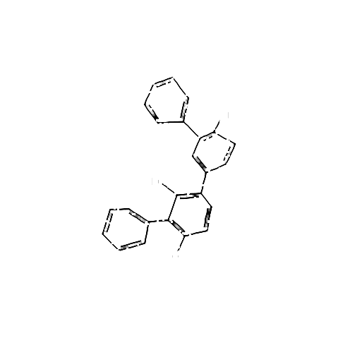 CCc1c(-c2ccc(O)c(-c3ccccc3)c2)ccc(O)c1-c1ccccc1